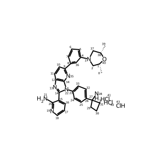 C[C@@H]1CN(c2cccc(-c3ccc4nc(-c5cccnc5N)n(-c5ccc(C6(N)CCC6)cc5)c4n3)c2)C[C@H](C)O1.Cl.Cl.Cl